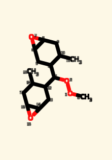 COOC(C1CC2OC2CC1C)C1CC2OC2CC1C